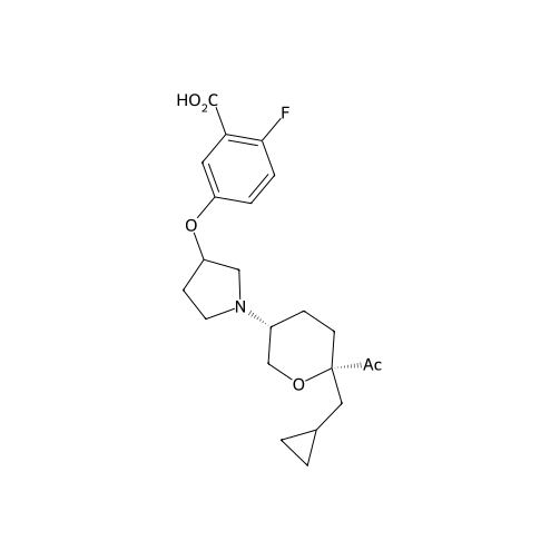 CC(=O)[C@@]1(CC2CC2)CC[C@@H](N2CCC(Oc3ccc(F)c(C(=O)O)c3)C2)CO1